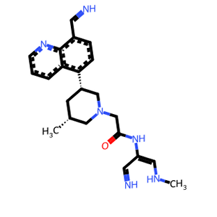 CN/C=C(\C=N)NC(=O)CN1C[C@H](C)C[C@H](c2ccc(C=N)c3ncccc23)C1